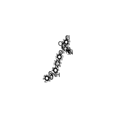 O=C(Nc1ccc(N2CCN(c3ccc(OC[C@@H]4CO[C@@](Cn5cncn5)(c5ccc(Cl)cc5Cl)O4)cc3)CC2)cc1)Oc1ccccc1